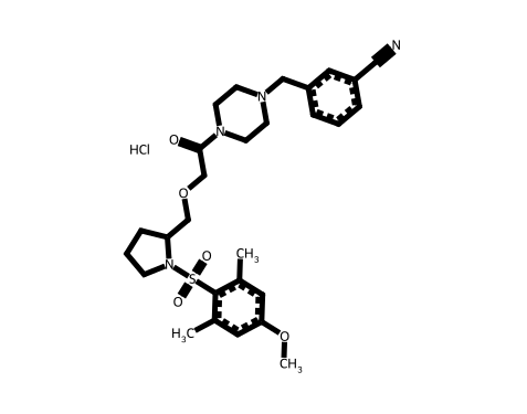 COc1cc(C)c(S(=O)(=O)N2CCCC2COCC(=O)N2CCN(Cc3cccc(C#N)c3)CC2)c(C)c1.Cl